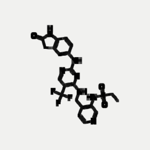 CCS(=O)(=O)Nc1cnccc1CNc1nc(Nc2ccc3c(c2)CC(=O)N3)ncc1C(F)(F)F